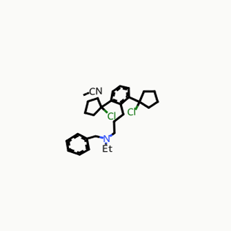 CC#N.CCN(CCCc1c(C2(Cl)CCCC2)cccc1C1(Cl)CCCC1)Cc1ccccc1